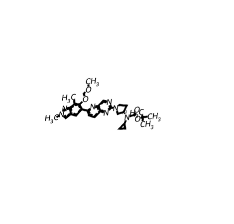 COCOc1c(-c2ccc3nc(N4CC[C@H](N(C(=O)OC(C)(C)C)C5CC5)C4)ncc3n2)cc2cn(C)nc2c1C